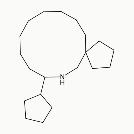 C1CCCCC2(CCCC2)CNC(C2CCCC2)CCC1